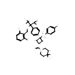 CC1(O)CCN(C(=O)[C@H]2C[C@@](c3ccc(C(OCc4c(F)cccc4F)(C(F)(F)F)C(F)(F)F)cc3)(S(=O)(=O)c3ccc(F)cc3)C2)CC1